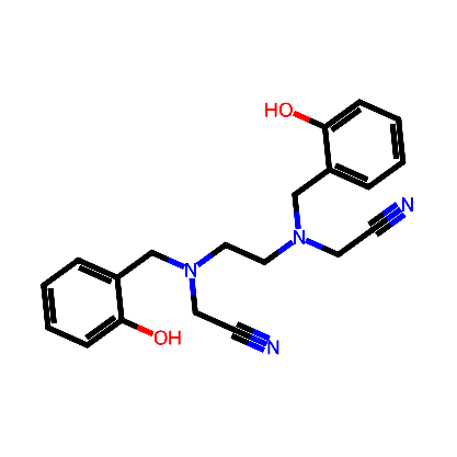 N#CCN(CCN(CC#N)Cc1ccccc1O)Cc1ccccc1O